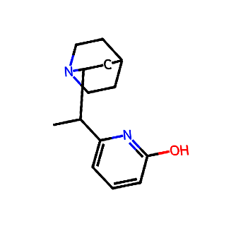 CC(c1cccc(O)n1)C1CC2CCN1CC2